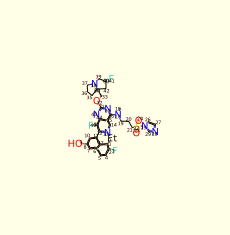 CCc1c(F)ccc2cc(O)cc(-c3ncc4c(N(C)CCCS(=O)(=O)n5ccnc5)nc(OC[C@@]56CCCN5C[C@H](F)C6)nc4c3F)c12